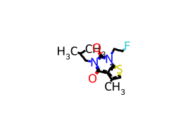 Cc1csc2c1c(=O)n(CC(C)C)c(=O)n2CCF